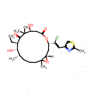 CC[C@H]1C(=O)C(C)(C)[C@@H](O)CC(=O)O[C@H](C(Cl)=Cc2csc(C)n2)C[C@@H]2OC2(C)CCC[C@H](C)[C@@H]1O